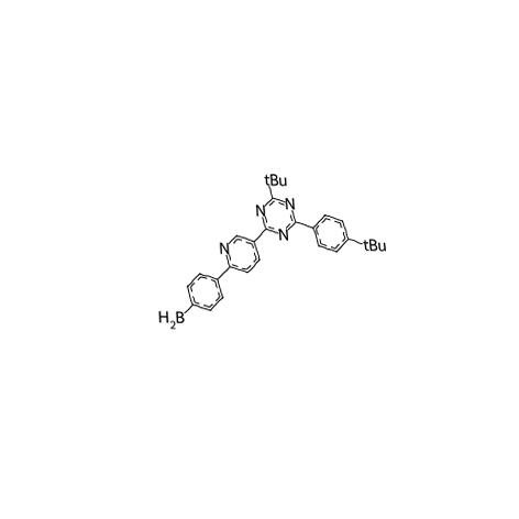 Bc1ccc(-c2ccc(-c3nc(-c4ccc(C(C)(C)C)cc4)nc(C(C)(C)C)n3)cn2)cc1